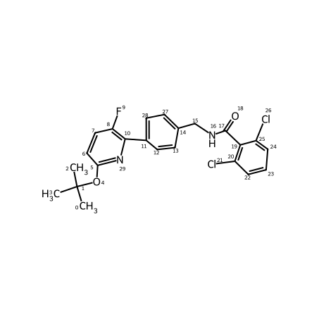 CC(C)(C)Oc1ccc(F)c(-c2ccc(CNC(=O)c3c(Cl)cccc3Cl)cc2)n1